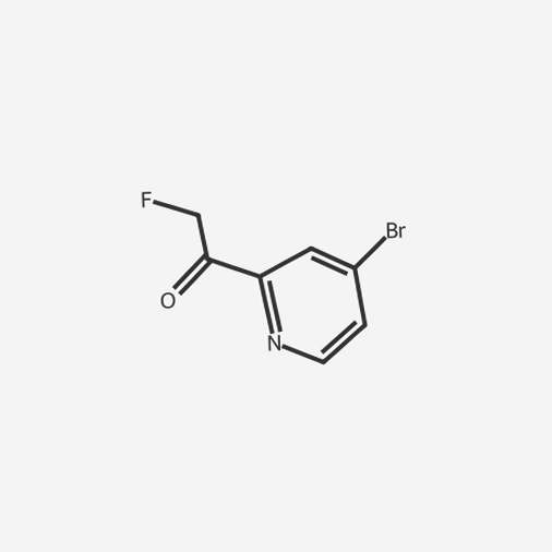 O=C(CF)c1cc(Br)ccn1